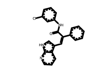 O=C(Nc1cccc(Cl)c1)C(=Cc1c[nH]c2ncccc12)c1ccccc1